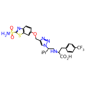 CC(C)[C@H](CNC(Cc1ccc(C(F)(F)F)cc1)C(=O)O)n1cc(COc2ccc3nc(S(N)(=O)=O)sc3c2)nn1